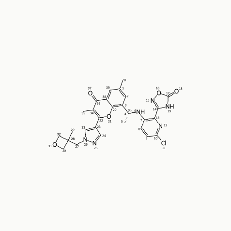 Cc1cc([C@@H](C)Nc2ccc(Cl)nc2-c2noc(=O)[nH]2)c2oc(-c3cnn(CC4(C)COC4)c3)c(C)c(=O)c2c1